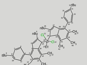 CCCCC1=Cc2c(-c3ccc(C(C)(C)C)cc3)c(C)c(C)c(C)c2[CH]1[Zr]([Cl])([Cl])([CH2]C)[CH]1C(CCCC)=Cc2c(-c3ccc(C(C)(C)C)cc3)c(C)c(C)c(C)c21